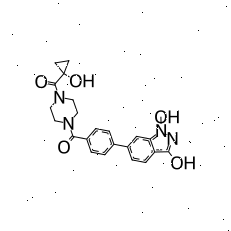 O=C(c1ccc(-c2ccc3c(O)nn(O)c3c2)cc1)N1CCN(C(=O)C2(O)CC2)CC1